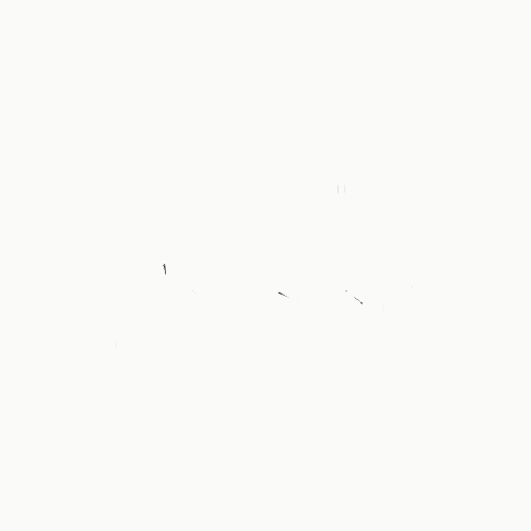 C=C1/C(=C\C=C2/CCC[C@@]3(C)[C@H]2CC[C@]3(O)[C@@H](C)CCC(O)C(C)C)C[C@H](O)C[C@H]1O